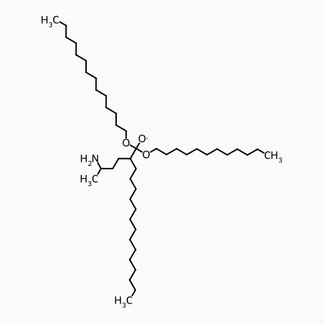 CCCCCCCCCCCCCCOC([O])(OCCCCCCCCCCCC)C(CCCCCCCCCCCCCC)CCC(C)N